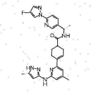 Cc1cc(Nc2cc(C)[nH]n2)nc(C2=CCC(C(=O)N[C@@H](C)c3ccc(-n4cc(F)cn4)nc3)CC2)c1